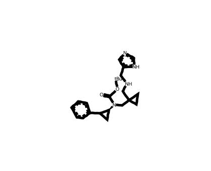 CC(C)(C)OC(=O)N(CC1(CNCc2cnc[nH]2)CC1)[C@H]1CC1c1ccccc1